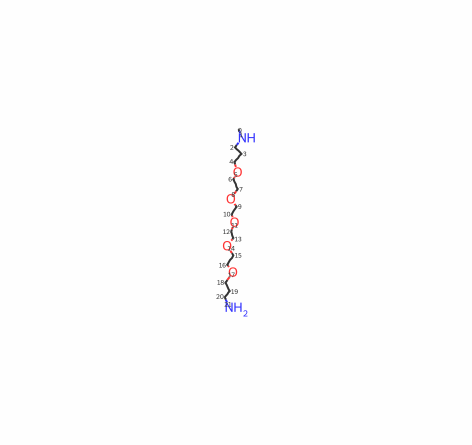 CNCCCOCCOCCOCCOCCOCCCN